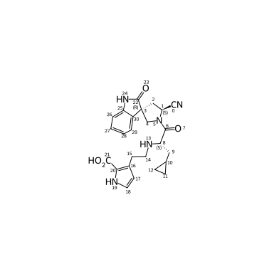 N#C[C@@H]1C[C@@]2(CN1C(=O)[C@H](CC1CC1)NCCc1cc[nH]c1C(=O)O)C(=O)Nc1ccccc12